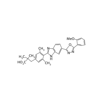 COc1ccccc1-c1nnc(-c2ccc3nc(-c4c(C)cc(CC(C)(C)C(=O)O)cc4C)[nH]c3c2)o1